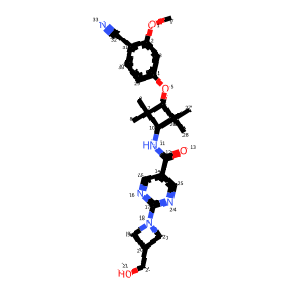 COc1cc(OC2C(C)(C)C(NC(=O)c3cnc(N4CC(CO)C4)nc3)C2(C)C)ccc1C#N